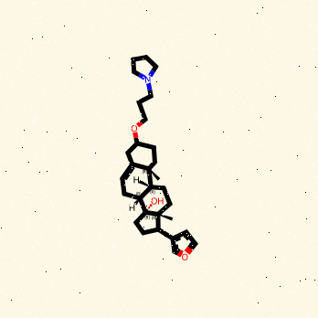 C[C@]12CCC(OCCCN3CCCC3)CC1=CC[C@@H]1[C@H]2CC[C@]2(C)C(c3ccoc3)CC[C@@]12O